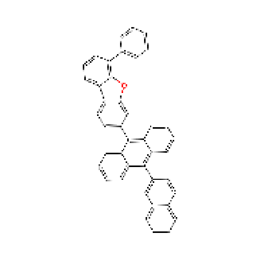 c1ccc(-c2cccc3c2oc2cc(-c4c5ccccc5c(-c5ccc6ccccc6c5)c5ccccc45)ccc23)cc1